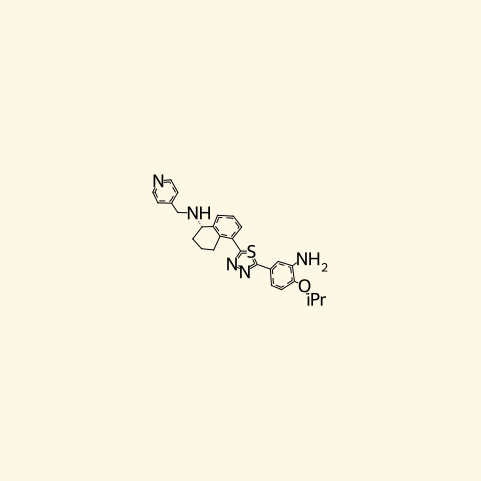 CC(C)Oc1ccc(-c2nnc(-c3cccc4c3CCC[C@@H]4NCc3ccncc3)s2)cc1N